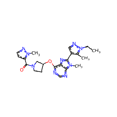 CCn1ncc(-c2nc3c(OC4CCN(C(=O)c5ccnn5C)C4)ncnc3n2C)c1C